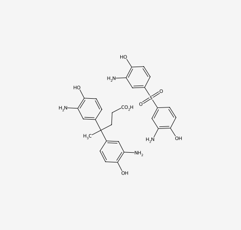 CC(CCC(=O)O)(c1ccc(O)c(N)c1)c1ccc(O)c(N)c1.Nc1cc(S(=O)(=O)c2ccc(O)c(N)c2)ccc1O